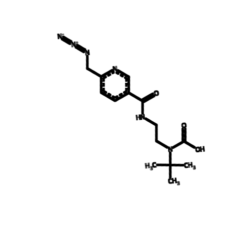 CC(C)(C)N(CCNC(=O)c1ccc(CN=[N+]=[N-])nc1)C(=O)O